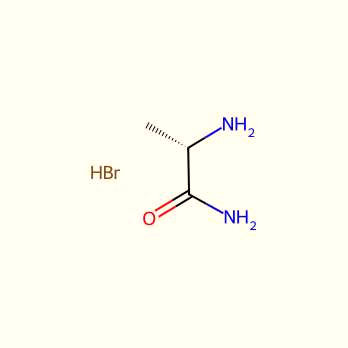 Br.C[C@H](N)C(N)=O